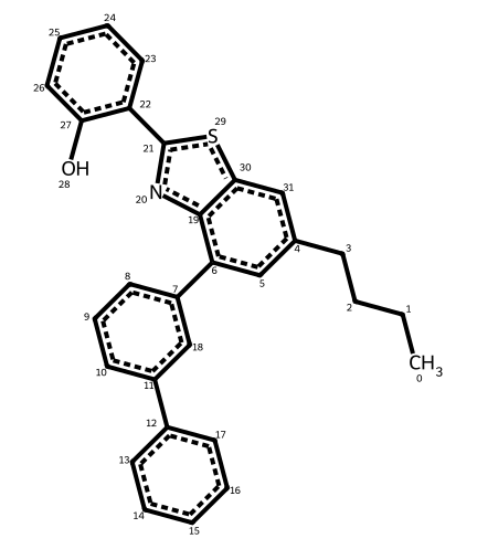 CCCCc1cc(-c2cccc(-c3ccccc3)c2)c2nc(-c3ccccc3O)sc2c1